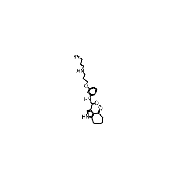 CC(C)CCCNCCCOc1cccc(NC(=O)c2c[nH]c3c2C(=O)CCCC3)c1